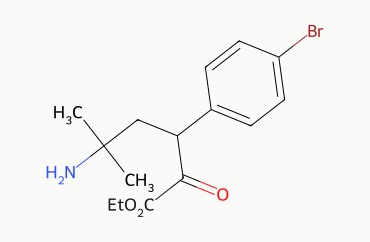 CCOC(=O)C(=O)C(CC(C)(C)N)c1ccc(Br)cc1